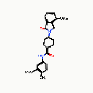 COc1cc(NC(=O)C2CCC(N3Cc4c(OC)cccc4C3=O)CC2)ccc1C